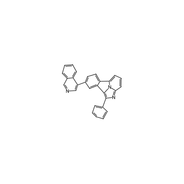 c1ccc(-c2nc3cccc4c5ccc(-c6cncc7ccccc67)cc5c2n34)cc1